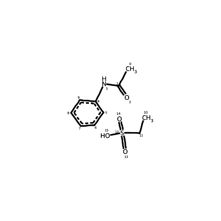 CC(=O)Nc1ccccc1.CCS(=O)(=O)O